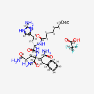 CCCCCCCCCCCCCCCC(=O)N[C@@H](CCc1c[nH]c(N)n1)C(=O)NC(CCC(N)=O)(C(N)=O)[C@H](Cc1ccccc1)C(N)=O.O=C(O)C(F)(F)F